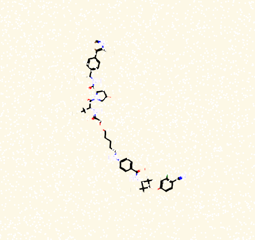 Cc1ncsc1-c1ccc([C@H](C)NC(=O)[C@H]2C[C@@H](O)CN2C(=O)[C@@H](NC(=O)COCCCCCNc2ccc(C(=O)N[C@H]3C(C)(C)[C@H](Oc4ccc(C#N)c(Cl)c4)C3(C)C)cc2)C(C)(C)C)cc1